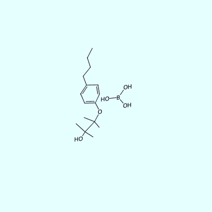 CCCCc1ccc(OC(C)(C)C(C)(C)O)cc1.OB(O)O